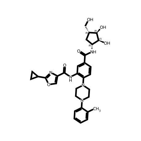 Cc1ccccc1N1CCN(c2ccc(C(=O)N[C@@H]3C[C@H](CO)[C@@H](O)[C@H]3O)cc2NC(=O)c2coc(C3CC3)n2)CC1